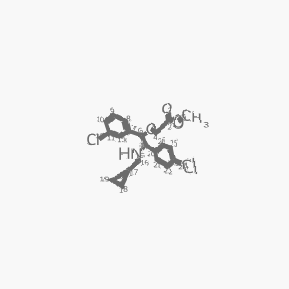 COC(=O)COC(c1cccc(Cl)c1)[C@H](NCC1CC1)c1ccc(Cl)cc1